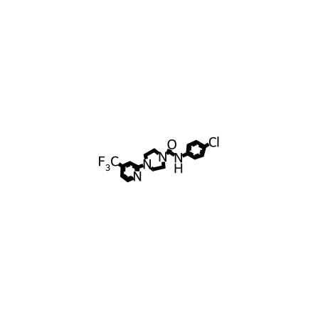 O=C(Nc1ccc(Cl)cc1)N1CCN(c2cc(C(F)(F)F)ccn2)CC1